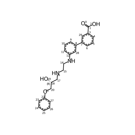 O=C(O)c1cccc(-c2cccc(NCCNC[C@@H](O)COc3ccccc3)c2)c1